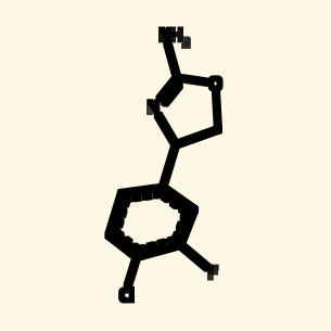 NC1=NC(c2ccc(Cl)c(F)c2)CO1